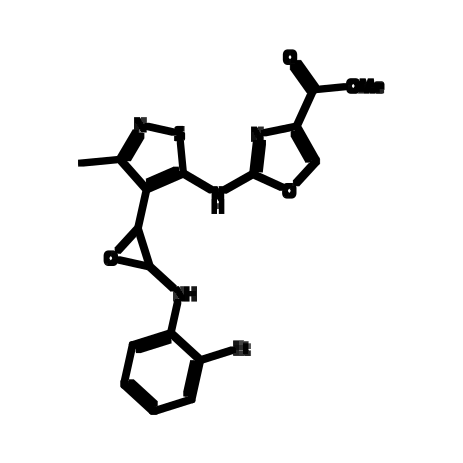 CCc1ccccc1NC1OC1c1c(C)nsc1Nc1nc(C(=O)OC)co1